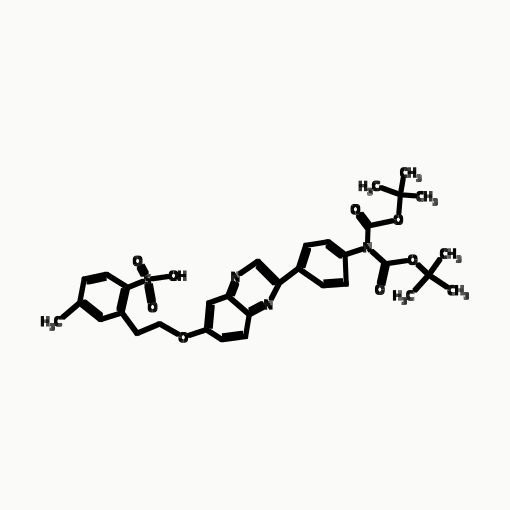 Cc1ccc(S(=O)(=O)O)c(CCOc2ccc3nc(-c4ccc(N(C(=O)OC(C)(C)C)C(=O)OC(C)(C)C)cc4)cnc3c2)c1